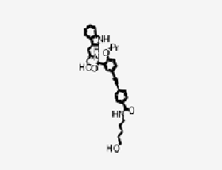 CC(C)Oc1ccc(C#Cc2ccc(C(=O)NCCCCCO)cc2)cc1C(=O)N[C@@H](CO)Cc1c[nH]c2ccccc12